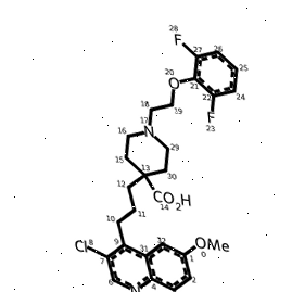 COc1ccc2ncc(Cl)c(CCCC3(C(=O)O)CCN(CCOc4c(F)cccc4F)CC3)c2c1